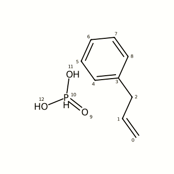 C=CCc1ccccc1.O=[PH](O)O